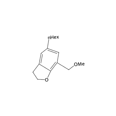 CCCCCCc1cc2c(c(COC)c1)OCC2